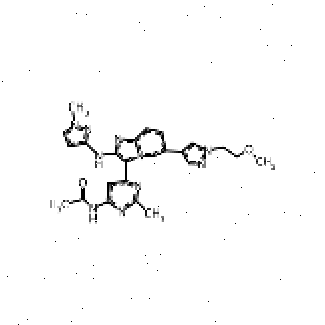 COCCn1cc(-c2ccc3nc(Nc4ccn(C)n4)c(-c4cc(NC(C)=O)nc(C)n4)n3c2)cn1